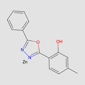 Cc1ccc(-c2nnc(-c3ccccc3)o2)c(O)c1.[Zn]